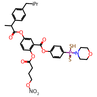 CC(C)Cc1ccc(C(C)C(=O)Oc2ccc(OC(=O)CCCO[N+](=O)[O-])c(C(=O)Oc3ccc(P(=S)(S)N4CCOCC4)cc3)c2)cc1